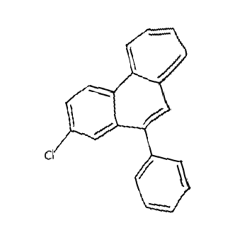 Clc1ccc2c(c1)c(-c1ccccc1)cc1ccccc12